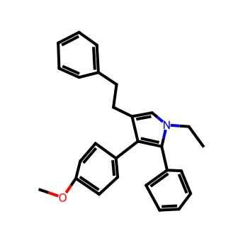 CCn1cc(CCc2ccccc2)c(-c2ccc(OC)cc2)c1-c1ccccc1